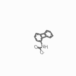 [O]C(=O)Nc1cccc2c1-c1ccccc1-2